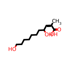 CC(=CC(O)CCCCCCCO)C(=O)O